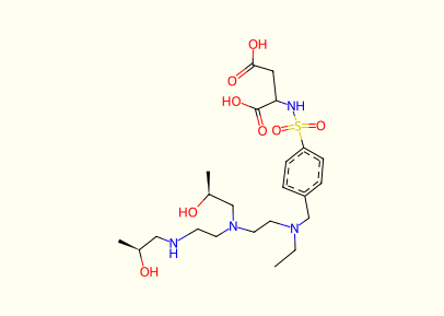 CCN(CCN(CCNC[C@H](C)O)C[C@H](C)O)Cc1ccc(S(=O)(=O)NC(CC(=O)O)C(=O)O)cc1